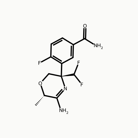 C[C@@H]1OC[C@@](c2cc(C(N)=O)ccc2F)(C(F)F)N=C1N